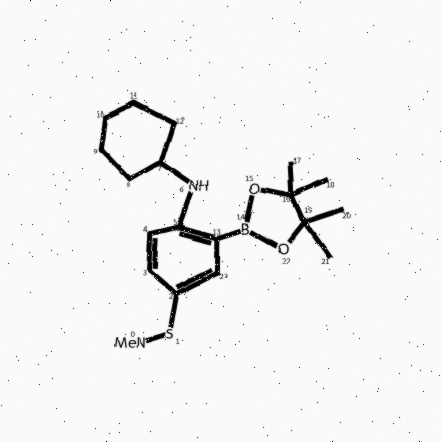 CNSc1ccc(NC2CCCCC2)c(B2OC(C)(C)C(C)(C)O2)c1